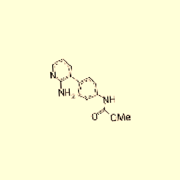 COC(=O)Nc1ccc(-c2cccnc2N)cc1